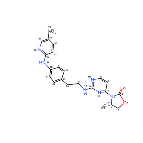 CC(C)[C@H]1COC(=O)N1c1ccnc(NCCc2ccc(Nc3ccc([N+](=O)[O-])cn3)cc2)n1